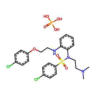 CN(C)CCN(c1ccccc1NCCOc1ccc(Cl)cc1)S(=O)(=O)c1ccc(Cl)cc1.O=P(O)(O)O